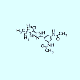 CC(=O)Nc1cc(NC(C)=O)cc(-c2nn3nc(C(C)(C)C)c(Cl)c3[nH]2)c1